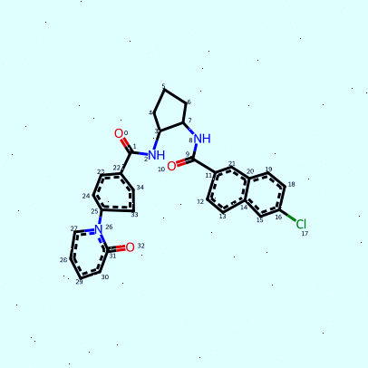 O=C(NC1CCCC1NC(=O)c1ccc2cc(Cl)ccc2c1)c1ccc(-n2ccccc2=O)cc1